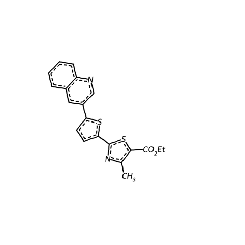 CCOC(=O)c1sc(-c2ccc(-c3cnc4ccccc4c3)s2)nc1C